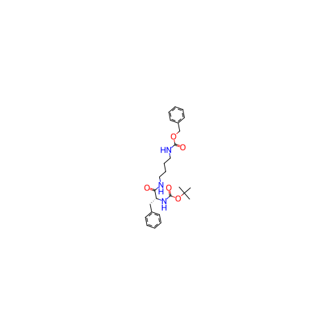 CC(C)(C)OC(=O)N[C@H](Cc1ccccc1)C(=O)NCCCCNC(=O)OCc1ccccc1